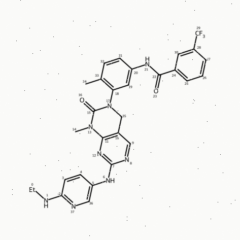 CCNc1ccc(Nc2ncc3c(n2)N(C)C(=O)N(c2cc(NC(=O)c4cccc(C(F)(F)F)c4)ccc2C)C3)cn1